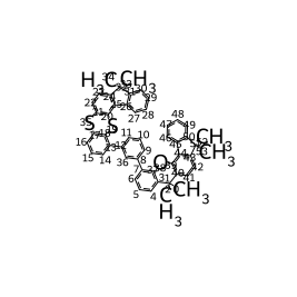 CC1(C)c2cccc(-c3cccc(-c4cccc5c4Sc4c(ccc6c4-c4ccccc4C6(C)C)S5)c3)c2Oc2c1ccc1c2-c2ccccc2C1(C)C